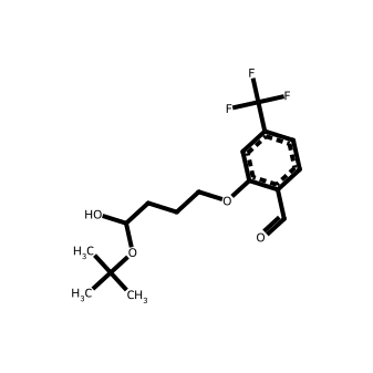 CC(C)(C)OC(O)CCCOc1cc(C(F)(F)F)ccc1C=O